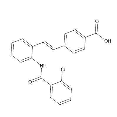 O=C(O)c1ccc(C=Cc2ccccc2NC(=O)c2ccccc2Cl)cc1